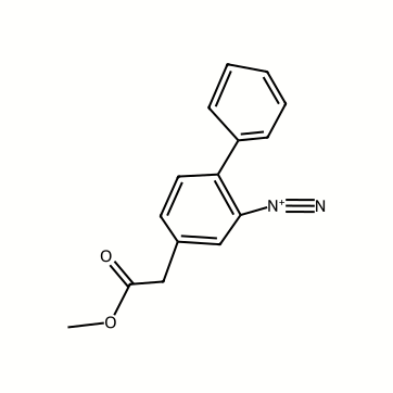 COC(=O)Cc1ccc(-c2ccccc2)c([N+]#N)c1